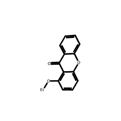 CCOc1cccc2oc3ccccc3c(=O)c12